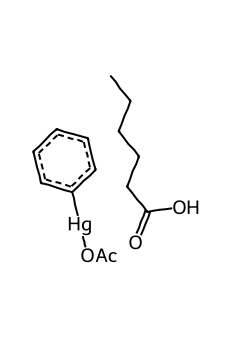 CC(=O)[O][Hg][c]1ccccc1.CCCCCC(=O)O